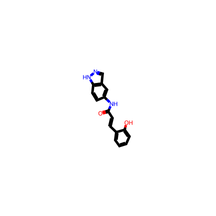 O=C(/C=C/c1ccccc1O)Nc1ccc2[nH]ncc2c1